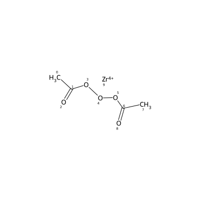 CC(=O)OOOC(C)=O.[Zr+4]